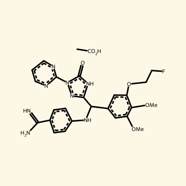 CC(=O)O.COc1cc(C(Nc2ccc(C(=N)N)cc2)c2nn(-c3ncccn3)c(=O)[nH]2)cc(OCCF)c1OC